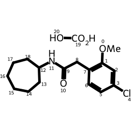 COc1cc(Cl)ccc1CC(=O)NC1CCCCCC1.O=C(O)O